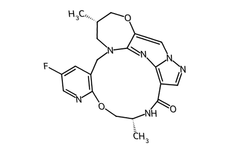 C[C@@H]1COc2cn3ncc4c3nc2N(Cc2cc(F)cnc2OC[C@@H](C)NC4=O)C1